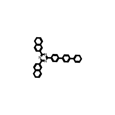 C1=CC(c2ccc(-c3ccc(-c4nc(-c5ccc6c(c5)C=CCC6)nc(-c5ccc6c(c5)C=CCC6)n4)cc3)cc2)=CCC1